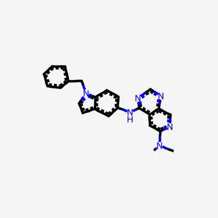 CN(C)c1cc2c(Nc3ccc4c(ccn4Cc4ccccc4)c3)ncnc2cn1